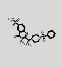 CC(c1nc2ccc(S(C)(=O)=O)cc2c(=O)n1C)N1CCN(S(=O)(=O)c2ccccc2)CC1